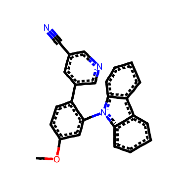 COc1ccc(-c2cncc(C#N)c2)c(-n2c3ccccc3c3ccccc32)c1